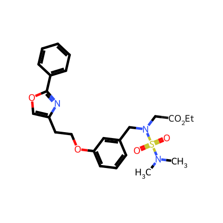 CCOC(=O)CN(Cc1cccc(OCCc2coc(-c3ccccc3)n2)c1)S(=O)(=O)N(C)C